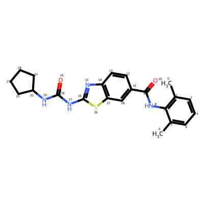 Cc1cccc(C)c1NC(=O)c1ccc2nc(NC(=O)NC3CCCC3)sc2c1